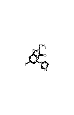 Cn1nc2cc(I)cc(-n3ccnc3)n2c1=O